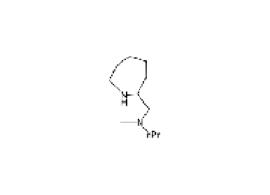 CCCN(C)CC1CCCCCN1